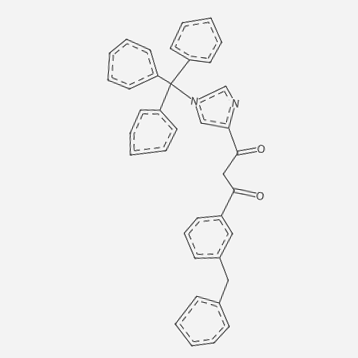 O=C(CC(=O)c1cn(C(c2ccccc2)(c2ccccc2)c2ccccc2)cn1)c1cccc(Cc2ccccc2)c1